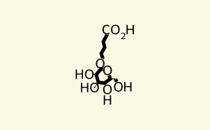 O=C(O)CCCCCO[C@H]1O[C@H](CO)[C@@H](O)[C@H](O)[C@@H]1O